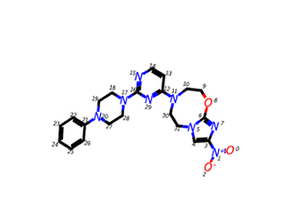 O=[N+]([O-])c1cn2c(n1)OCCN(c1ccnc(N3CCN(c4ccccc4)CC3)n1)CC2